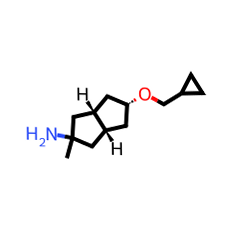 CC1(N)C[C@H]2C[C@@H](OCC3CC3)C[C@H]2C1